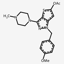 COc1ccc(Cn2nc(N3CCN(C)CC3)c3sc(OC(C)=O)cc32)cc1